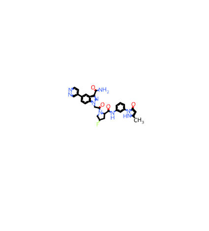 Cc1cc(=O)n(-c2cccc(NC(=O)C3CC(F)CN3C(=O)Cn3nc(C(N)=O)c4cc(-c5ccnnc5)ccc43)c2)[nH]1